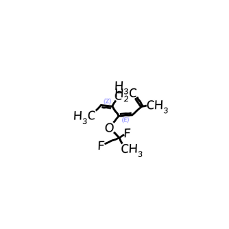 C=C(C)/C=C(OC(C)(F)F)\C(C)=C/C